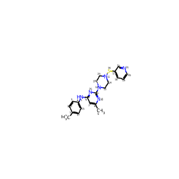 Cc1ccc(Nc2cc(C)nc(N3CCN(Sc4cccnc4)CC3)n2)cc1